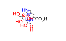 NC(Cc1c[nH]cn1)C(=O)O.OC[C@@H](O)[C@@H](O)[C@H](O)[C@H](O)CO